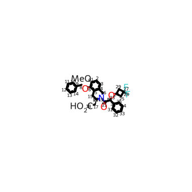 COc1ccc2c(c1OCc1ccccc1)C[C@H](CC(=O)O)N(C(=O)[C@@H](OC1CC(F)(F)C1)c1ccccc1)C2